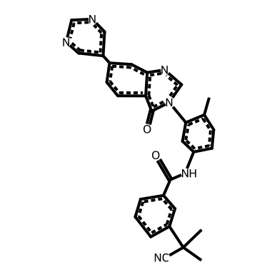 Cc1ccc(NC(=O)c2cccc(C(C)(C)C#N)c2)cc1-n1cnc2cc(-c3cncnc3)ccc2c1=O